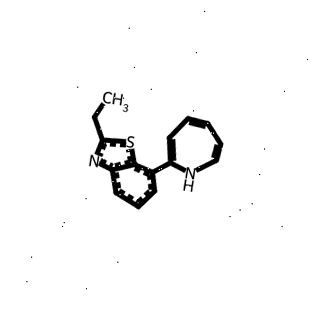 CCc1nc2cccc(C3=CC=CC=CN3)c2s1